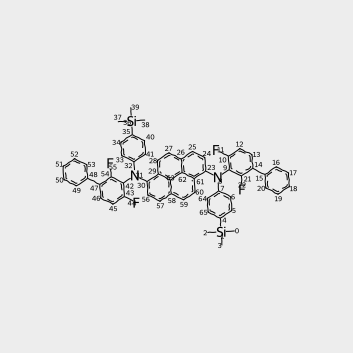 C[Si](C)(C)c1ccc(N(c2c(F)ccc(-c3ccccc3)c2F)c2ccc3ccc4c(N(c5ccc([Si](C)(C)C)cc5)c5c(F)ccc(-c6ccccc6)c5F)ccc5ccc2c3c54)cc1